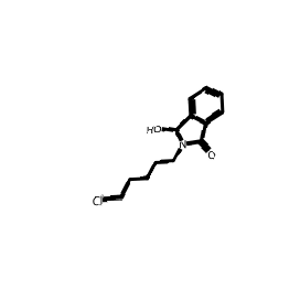 O=C1c2ccccc2C(O)N1CCCCCCl